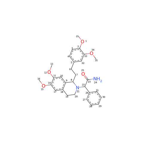 COc1ccc(CCC2c3cc(OC)c(OC)cc3CCN2C(C(N)=O)c2ccccc2)cc1OC